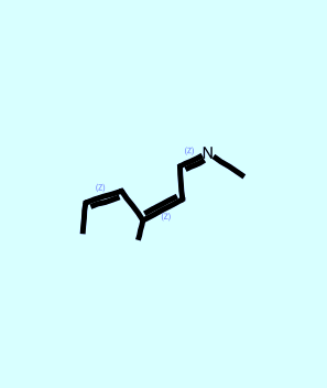 C\C=C/C(C)=C\C=N/C